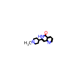 CN1CCC(c2cc3ncccc3c(=O)[nH]2)CC1